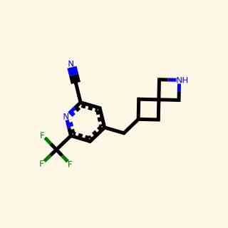 N#Cc1cc(CC2CC3(CNC3)C2)cc(C(F)(F)F)n1